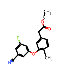 CCOC(=O)Cc1ccc(C)c(Oc2cc(F)cc(C#N)c2)c1